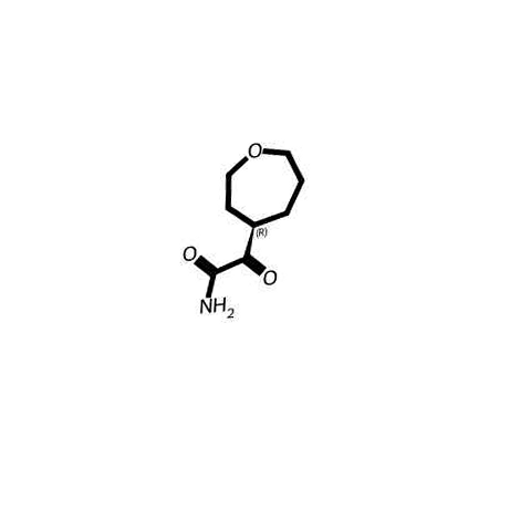 NC(=O)C(=O)[C@@H]1CCCOCC1